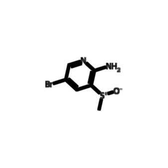 C[S+]([O-])c1cc(Br)cnc1N